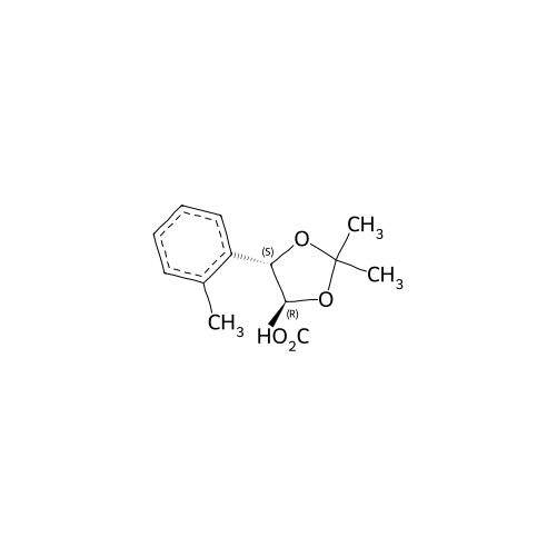 Cc1ccccc1[C@@H]1OC(C)(C)O[C@H]1C(=O)O